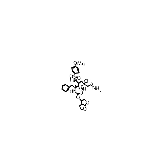 COc1ccc(S(=O)(=O)NC(CC(C)(C)CCN)[C@H](O)[C@H](Cc2ccccc2)NC(=O)OC2COC3OCCC23)cc1